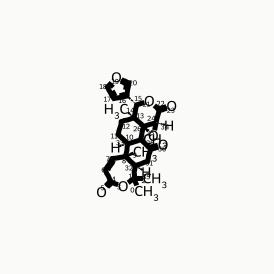 CC1(C)OC(=O)C=C[C@]2(C)[C@H]3CC[C@@]4(C)[C@H](c5ccoc5)OC(=O)[C@H]5O[C@]54[C@]3(C)C(=O)C[C@@H]12